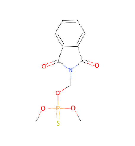 COP(=S)(OC)OCN1C(=O)c2ccccc2C1=O